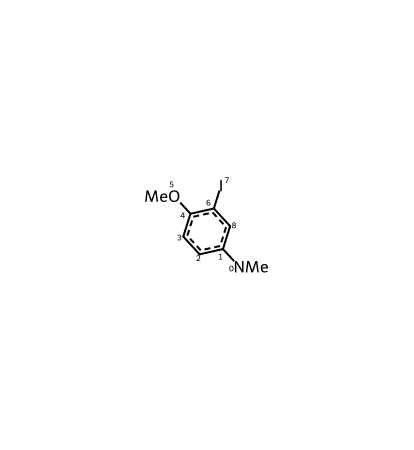 CNc1ccc(OC)c(I)c1